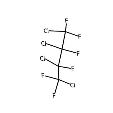 FC(F)(Cl)C(F)(Cl)C(F)(Cl)C(F)(F)Cl